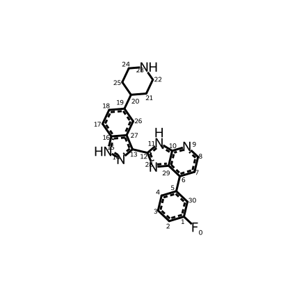 Fc1cccc(-c2ccnc3[nH]c(-c4n[nH]c5ccc(C6CCNCC6)cc45)nc23)c1